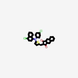 O=C1C(=Cc2ccc(N(c3ccc(Cl)cc3)c3ccc(Cl)c4ccccc34)s2)C(=O)c2cc3ccccc3cc21